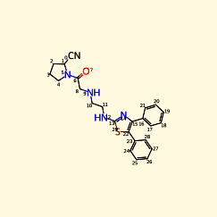 N#CC1CCCN1C(=O)CNCCNc1nc(-c2ccccc2)c(-c2ccccc2)s1